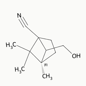 CC1(C)C2(C#N)CC[C@]1(C)C2CO